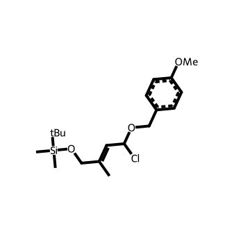 COc1ccc(COC(Cl)/C=C(\C)CO[Si](C)(C)C(C)(C)C)cc1